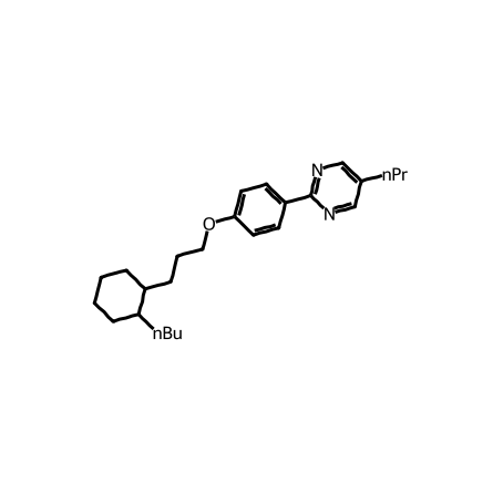 CCCCC1CCCCC1CCCOc1ccc(-c2ncc(CCC)cn2)cc1